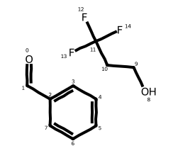 O=Cc1ccccc1.OCCC(F)(F)F